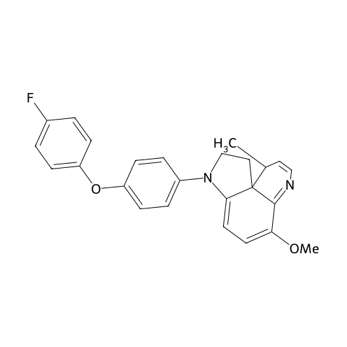 COC1=CC=C2N(c3ccc(Oc4ccc(F)cc4)cc3)CCC23C1=NC=CC3C